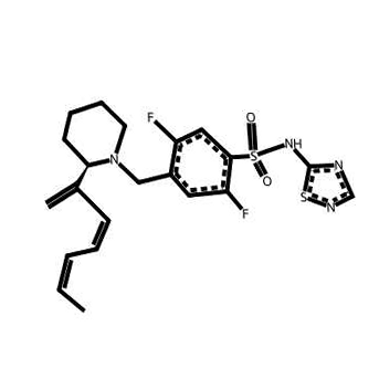 C=C(/C=C\C=C/C)[C@H]1CCCCN1Cc1cc(F)c(S(=O)(=O)Nc2ncns2)cc1F